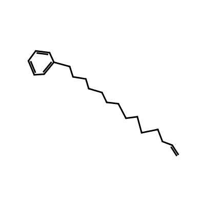 C=CCCCCCCCCCCCCc1ccccc1